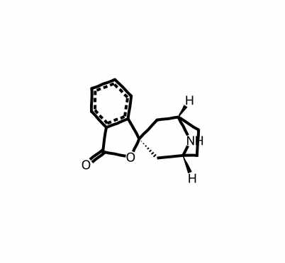 O=C1O[C@@]2(C[C@H]3CC[C@@H](C2)N3)c2ccccc21